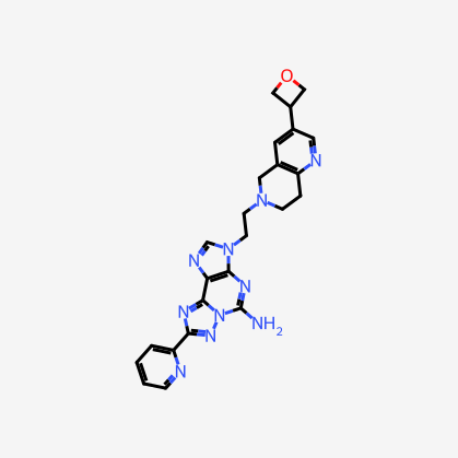 Nc1nc2c(ncn2CCN2CCc3ncc(C4COC4)cc3C2)c2nc(-c3ccccn3)nn12